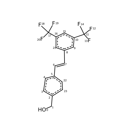 OCc1ccc(C=Cc2cc(C(F)(F)F)cc(C(F)(F)F)c2)cc1